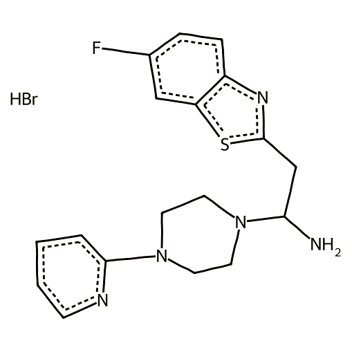 Br.NC(Cc1nc2ccc(F)cc2s1)N1CCN(c2ccccn2)CC1